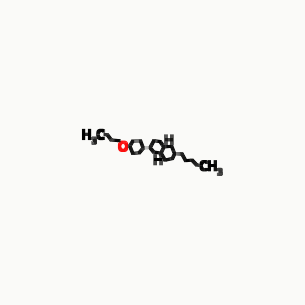 CCCCC[C@H]1CC[C@@H]2C[C@H](C3CCC(OCCCC)CC3)CC[C@H]2C1